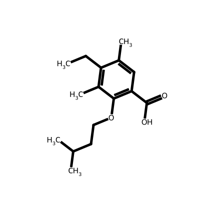 CCc1c(C)cc(C(=O)O)c(OCCC(C)C)c1C